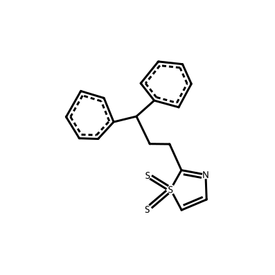 S=S1(=S)C=CN=C1CCC(c1ccccc1)c1ccccc1